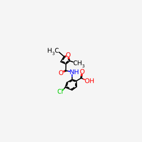 Cc1cc(C(=O)Nc2cc(Cl)ccc2C(=O)O)c(C)o1